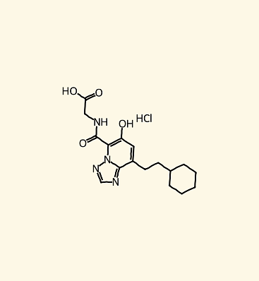 Cl.O=C(O)CNC(=O)c1c(O)cc(CCC2CCCCC2)c2ncnn12